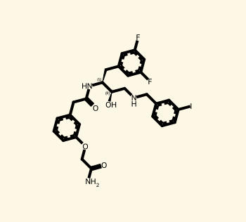 NC(=O)COc1cccc(CC(=O)N[C@@H](Cc2cc(F)cc(F)c2)[C@H](O)CNCc2cccc(I)c2)c1